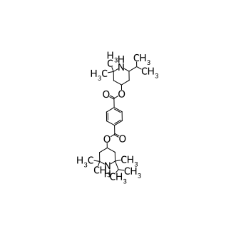 CC(C)C1CC(OC(=O)c2ccc(C(=O)OC3CC(C)(C)NC(C)(C(C)C)C3)cc2)CC(C)(C)N1